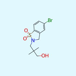 CC(C)(CO)CN1Cc2cc(Br)ccc2S1(=O)=O